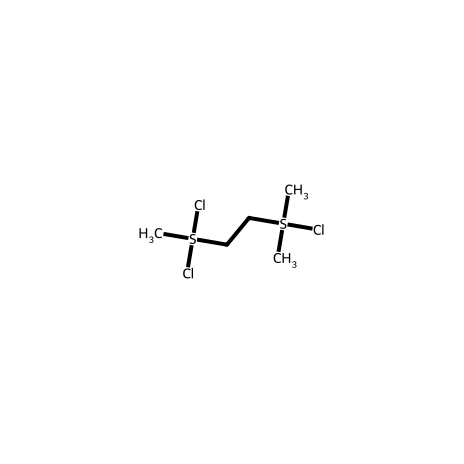 CS(C)(Cl)CCS(C)(Cl)Cl